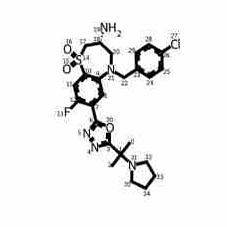 CC(C)(c1nnc(-c2cc3c(cc2F)S(=O)(=O)C[C@H](N)CN3Cc2ccc(Cl)cc2)o1)N1CCCC1